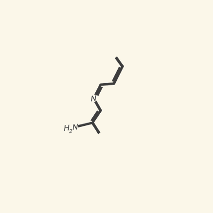 C\C=C/C=N\C=C(\C)N